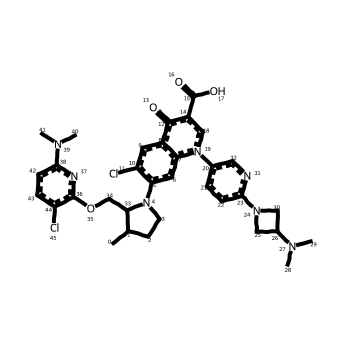 CC1CCN(c2cc3c(cc2Cl)c(=O)c(C(=O)O)cn3-c2ccc(N3CC(N(C)C)C3)nc2)C1COc1nc(N(C)C)ccc1Cl